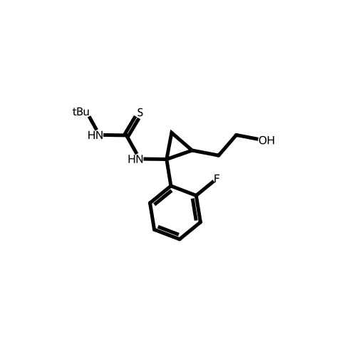 CC(C)(C)NC(=S)NC1(c2ccccc2F)CC1CCO